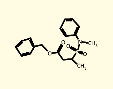 CC(CC(=O)OCc1ccccc1)S(=O)(=O)N(C)c1ccccc1